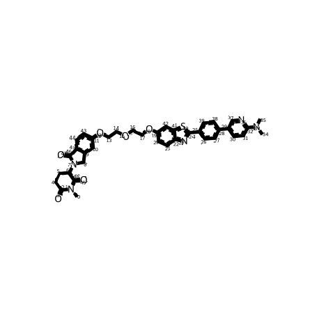 CN1C(=O)CCC(N2Cc3cc(OCCOCCOc4ccc5nc(-c6ccc(-c7ccc(N(C)C)nc7)cc6)sc5c4)ccc3C2=O)C1=O